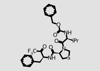 CC(C)[C@H](NC(=O)OCc1ccccc1)C(=O)N1CSC[C@H]1C(=O)N[C@@H](Cc1ccccc1)C(=O)C(F)(F)F